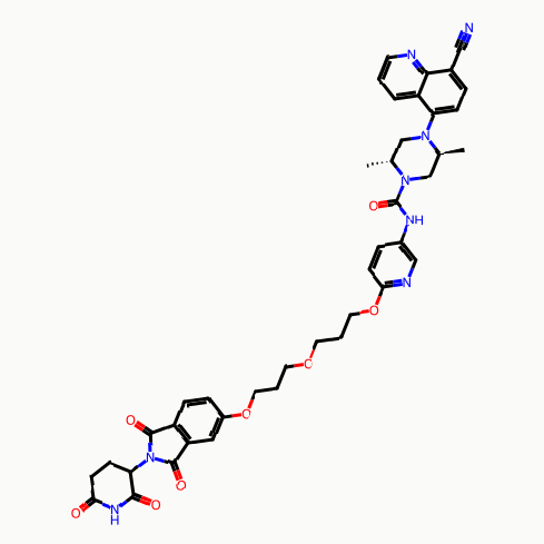 C[C@@H]1CN(c2ccc(C#N)c3ncccc23)[C@@H](C)CN1C(=O)Nc1ccc(OCCCOCCCOc2ccc3c(c2)C(=O)N(C2CCC(=O)NC2=O)C3=O)nc1